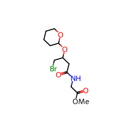 COC(=O)CNC(=O)CC(CBr)OC1CCCCO1